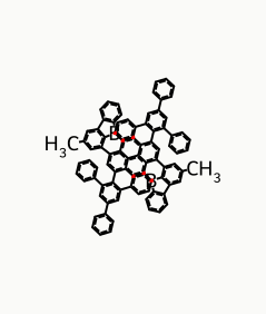 Cc1cc2c3c(c1)-c1cc(-c4c(-c5ccccc5)cc(-c5ccccc5)cc4-c4ccccc4)c4cc5c6c(cc(-c7c(-c8ccccc8)cc(-c8ccccc8)cc7-c7ccccc7)c7cc(c1c4c76)B3c1ccccc1-2)-c1cc(C)cc2c1B5c1ccccc1-2